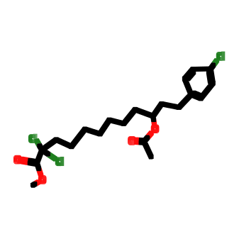 COC(=O)C(Cl)(Cl)CCCCCCCC(CCc1ccc(Cl)cc1)OC(C)=O